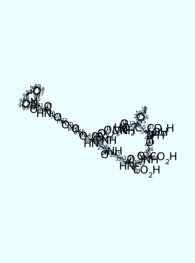 COC(=O)C(CCCCNC(=O)CCCc1ccc(I)cc1)NC(=O)C(CCC(=O)NCCCCCC(=O)N[C@@H](CCC(=O)N[C@@H](CCCOCN(PO)C(CCC(=O)O)C(=O)O)C(=O)O)C(=O)O)NC(=O)CCOCCOCCOCCOCCNC(=O)CCC(=O)N1Cc2ccccc2C#Cc2ccccc21